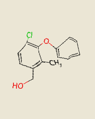 Cc1c(CO)ccc(Cl)c1Oc1ccccc1